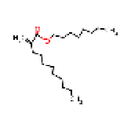 C=C(CCCCCCCCC)C(=O)OCCCCCCCC